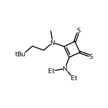 CCN(CC)c1c(N(C)CCC(C)(C)C)c(=S)c1=S